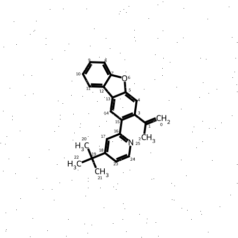 C=C(C)c1cc2oc3ccccc3c2cc1-c1cc(C(C)(C)C)ccn1